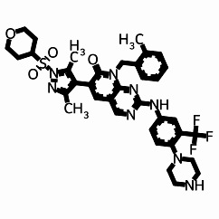 Cc1ccccc1Cn1c(=O)c(-c2c(C)nn(S(=O)(=O)C3CCOCC3)c2C)cc2cnc(Nc3ccc(N4CCNCC4)c(C(F)(F)F)c3)nc21